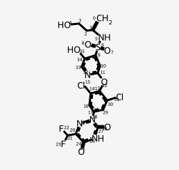 C=C(CCO)NS(=O)(=O)c1cc(Oc2c(Cl)cc(-n3nc(C(F)F)c(=O)[nH]c3=O)cc2Cl)ncc1O